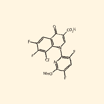 COc1nc(-n2cc(C(=O)O)c(=O)c3cc(F)c(F)c(Cl)c32)c(F)cc1F